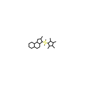 CC1CC2C3CCCCC3CCC2C1S(C)(C)C1C(C)C(C)C(C)C1C